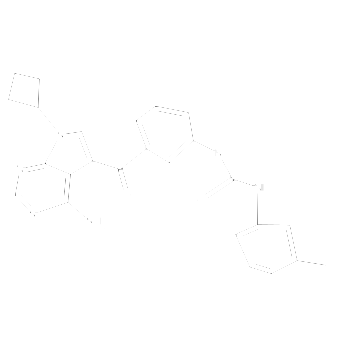 CCc1cccc(NC(=O)Nc2cccc(C(=O)c3cn(C4CCC4)c4ncnc(N)c34)c2)c1